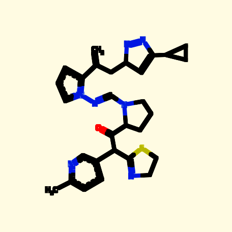 C=C(CC1C=C(C2CC2)N=N1)c1cccn1/N=C/N1CCCC1C(=O)C(C1=NCCS1)c1ccc(C)nc1